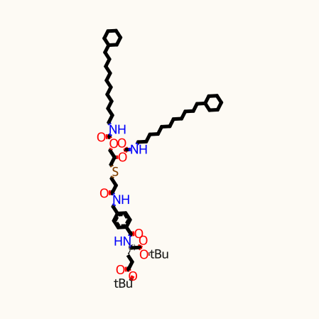 CC(C)(C)OC(=O)CC[C@H](NC(=O)c1ccc(CNC(=O)CCSCC(COC(=O)NCCCCCCCCCCCC2CCCCC2)OC(=O)NCCCCCCCCCCCC2CCCCC2)cc1)C(=O)OC(C)(C)C